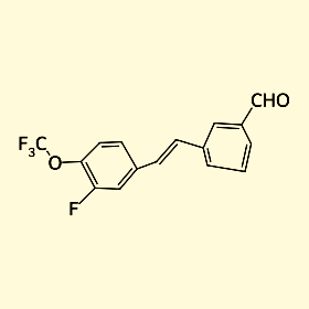 O=Cc1cccc(/C=C/c2ccc(OC(F)(F)F)c(F)c2)c1